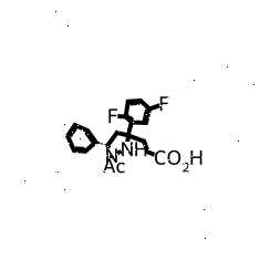 CC(=O)N1NC(CCC(=O)O)(c2cc(F)ccc2F)C[C@H]1c1ccccc1